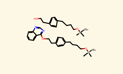 CC(C)(C)[Si](C)(C)OCCCCc1ccc(CCO)cc1.CC(C)(C)[Si](C)(C)OCCCCc1ccc(CCOc2ncnc3ccccc23)cc1